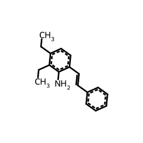 CCc1ccc(C=Cc2ccccc2)c(N)c1CC